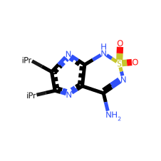 CC(C)c1nc2c(nc1C(C)C)C(N)=NS(=O)(=O)N2